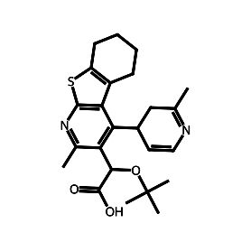 CC1=NC=CC(c2c(C(OC(C)(C)C)C(=O)O)c(C)nc3sc4c(c23)CCCC4)C1